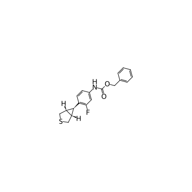 O=C(Nc1ccc([C@H]2[C@@H]3CSC[C@@H]32)c(F)c1)OCc1ccccc1